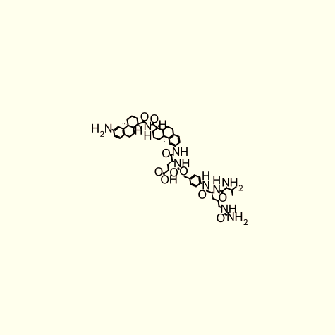 CC(C)[C@H](N)C(=O)N[C@@H](CCCNC(N)=O)C(=O)Nc1ccc(COC(=O)N[C@@H](CCC(=O)O)C(=O)Nc2ccc3c(c2)[C@@]2(C)CCC[C@](C)(C(=O)NC(=O)[C@@]4(C)CCC[C@]5(C)c6cc(N)ccc6CC[C@@H]45)[C@@H]2CC3)cc1